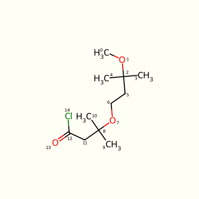 COC(C)(C)CCOC(C)(C)CC(=O)Cl